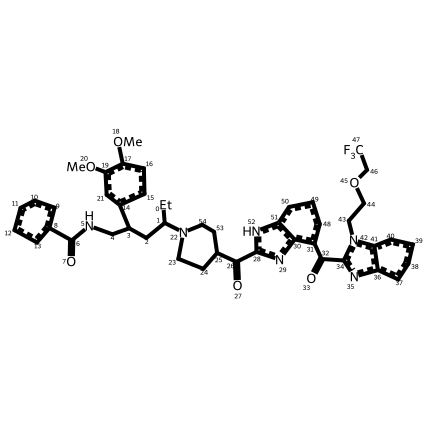 CCC(CC(CNC(=O)c1ccccc1)c1ccc(OC)c(OC)c1)N1CCC(C(=O)c2nc3c(C(=O)c4nc5ccccc5n4CCOCC(F)(F)F)cccc3[nH]2)CC1